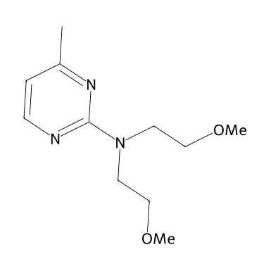 COCCN(CCOC)c1nccc(C)n1